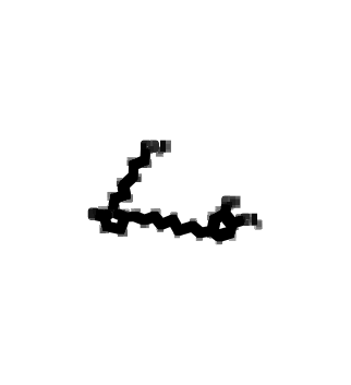 Cc1ccc(CCCCCCCCC2CCC(=O)N2CC=CCCCC(=O)O)cc1O